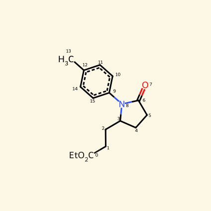 CCOC(=O)CCC1CCC(=O)N1c1ccc(C)cc1